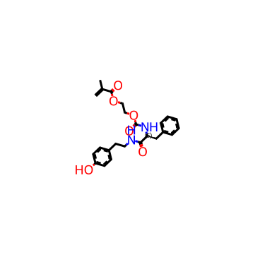 C=C(C)C(=O)OCCOC(=O)N[C@@H](Cc1ccccc1)C(=O)NCCc1ccc(O)cc1